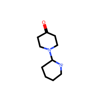 O=C1CCN(C2CCCC[N]2)CC1